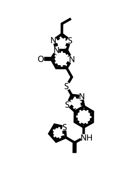 C=C(Nc1ccc2nc(SCc3cc(=O)n4nc(CC)sc4n3)sc2c1)c1cccs1